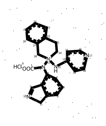 Cl.O=C([O-])N(c1cccc2c1C=NC2)[N+]1(Nc2ccncc2)CCc2ccccc2C1